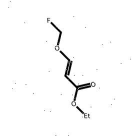 CCOC(=O)C=COCF